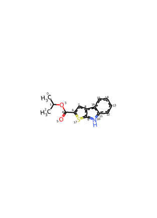 CC(C)OC(=O)c1cc2c([nH]c3ccccc32)s1